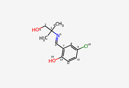 CC(C)(CO)/N=C/c1cc(Cl)ccc1O